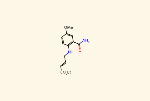 CCOC(=O)C=CCNc1ccc(OC)cc1C(N)=O